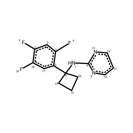 Fc1cc(F)c(C2(Nc3ncccn3)CCC2)cc1F